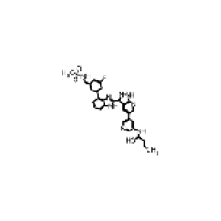 CCCC(O)Nc1cncc(-c2cnc3[nH]nc(-c4nc5c(-c6cc(F)cc(CNS(C)(=O)=O)c6)cccc5[nH]4)c3c2)c1